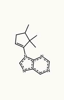 CC1CC=C(n2cnc3cncnc32)C1(C)C